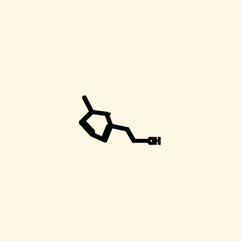 CC1[CH]C(CCO)=CC=C1